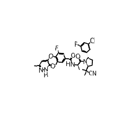 Cc1cc(Oc2c(C)cc(C(=O)N[C@H](C)C(=O)N3C(C(C)(C)C#N)CC[C@H]3c3cc(F)cc(Cl)c3)cc2F)c(=O)[nH]n1